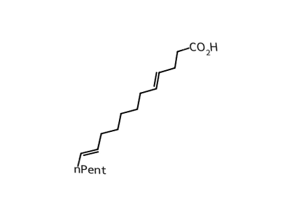 CCCCC/C=C/CCCCC/C=C/CCC(=O)O